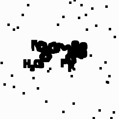 CSc1ccc(C2(c3ccc(F)cc3)CCN(CCCNC(=O)N3C(=O)OCC3c3ccc(F)c(F)c3)CC2)cc1